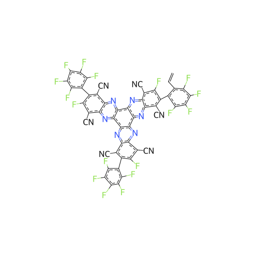 C=Cc1c(F)c(F)c(F)c(F)c1-c1c(F)c(C#N)c2nc3c4nc5c(C#N)c(-c6c(F)c(F)c(F)c(F)c6F)c(F)c(C#N)c5nc4c4nc5c(C#N)c(-c6c(F)c(F)c(F)c(F)c6F)c(F)c(C#N)c5nc4c3nc2c1C#N